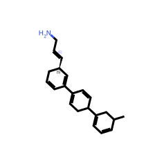 CC1C=CC=C(C2C=CC(C3=C[C@H](/C=C/CN)CC=C3)=CC2)C1